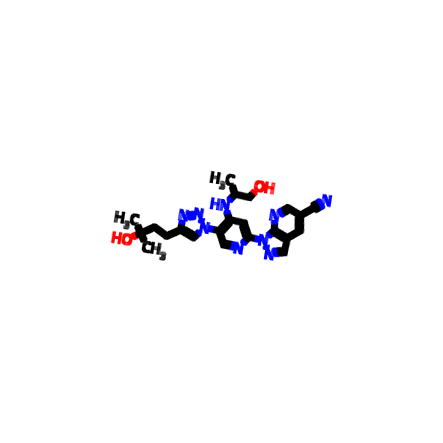 CC(CO)Nc1cc(-n2ncc3cc(C#N)cnc32)ncc1-n1cc(CCC(C)(C)O)nn1